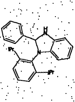 CC(C)c1cccc(C(C)C)c1N1c2ccccc2NC1c1ccccc1